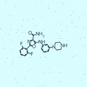 NC(=O)c1nc(-c2c(F)cccc2F)oc1Nc1cccc(N2CCNCC2)c1